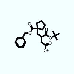 CC(C)(C)OC(=O)[C@@H](CC(=O)O)CC1(C(=O)OCc2ccccc2)CCCC1